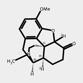 [2H]C12Oc3c(OC)ccc4c3[C@@]13CCN(C)[C@H](C4)[C@]3([2H])CCC2=O